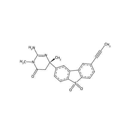 CC#Cc1ccc2c(c1)-c1cc([C@]3(C)CC(=O)N(C)C(N)=N3)ccc1S2(=O)=O